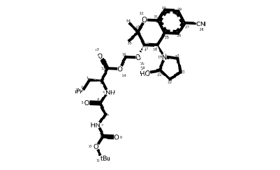 CC(C)C[C@H](NC(=O)CNC(=O)OC(C)(C)C)C(=O)OCO[C@H]1[C@H](N2CCCC2O)c2cc(C#N)ccc2OC1(C)C